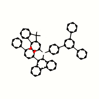 CC1(C)c2ccccc2-c2ccc(N(c3ccc(-c4cc(-c5ccccc5)cc(-c5ccccc5)c4)cc3)c3c(-c4ccc(-c5ccccc5)cc4)c4ccccc4c4ccccc34)cc21